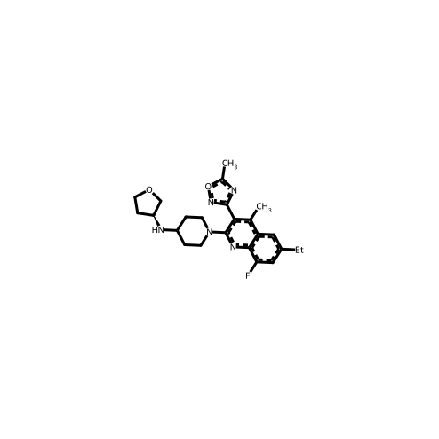 CCc1cc(F)c2nc(N3CCC(N[C@H]4CCOC4)CC3)c(-c3noc(C)n3)c(C)c2c1